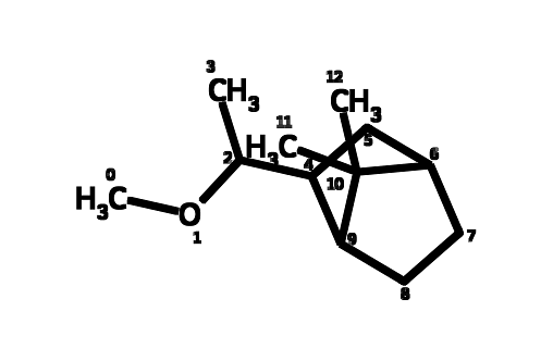 COC(C)C1CC2CCC1C2(C)C